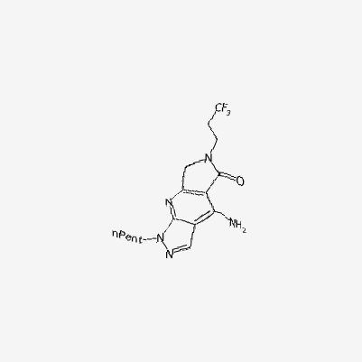 CCCCCn1ncc2c(N)c3c(nc21)CN(CCC(F)(F)F)C3=O